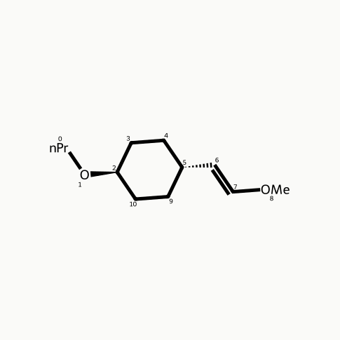 CCCO[C@H]1CC[C@H](C=COC)CC1